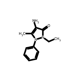 CCn1c(=O)c(N)c(C)n1-c1ccccc1